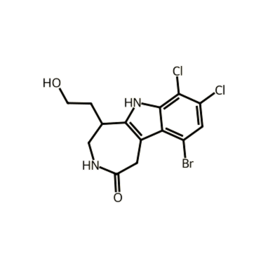 O=C1Cc2c([nH]c3c(Cl)c(Cl)cc(Br)c23)C(CCO)CN1